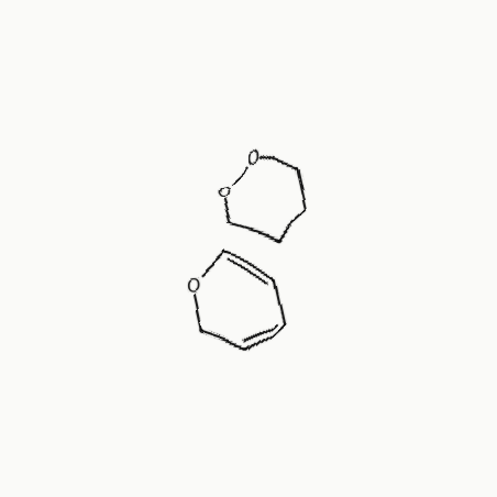 C1=CCOC=C1.C1CCOOC1